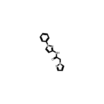 O=C(Cn1cccn1)Nc1ccn(-c2ccccc2)n1